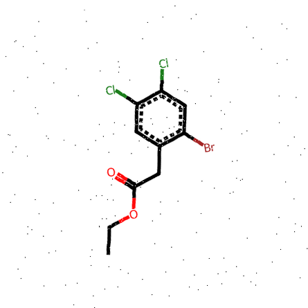 CCOC(=O)Cc1cc(Cl)c(Cl)cc1Br